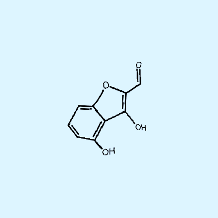 O=Cc1oc2cccc(O)c2c1O